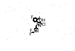 C[C@@H](O)c1cc(F)ccc1-c1cc(Cl)nn1Cc1cnn(CC(F)F)c1